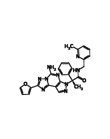 Cc1cccc(CNC(=O)[C@@](C)(c2ccccc2)n2ncc3c2nc(N)n2nc(-c4ccco4)nc32)n1